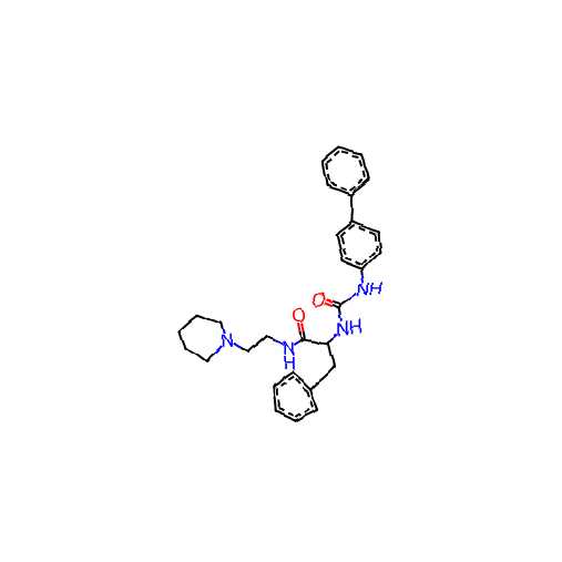 O=C(Nc1ccc(-c2ccccc2)cc1)NC(Cc1ccccc1)C(=O)NCCN1CCCCC1